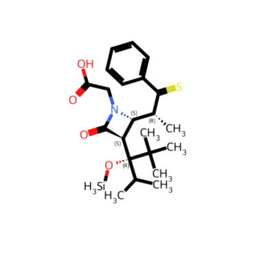 CC(C)[C@@](O[SiH3])([C@H]1C(=O)N(CC(=O)O)[C@@H]1[C@@H](C)C(=S)c1ccccc1)C(C)(C)C